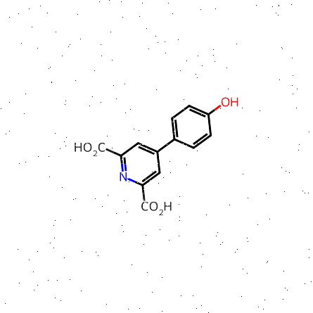 O=C(O)c1cc(-c2ccc(O)cc2)cc(C(=O)O)n1